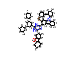 c1ccc(-c2cc(-c3ccccc3)cc(-c3nc(-c4ccc5c(c4)oc4ccccc45)nc(-c4cc5c6ccccc6n6c7ccccc7c7cccc8sc4c(c87)c56)n3)c2)cc1